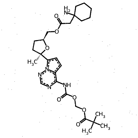 CC(C)(C)C(=O)OCOC(=O)Nc1ncnn2c([C@@]3(C)CC[C@@H](COC(=O)CC4(N)CCCCC4)O3)ccc12